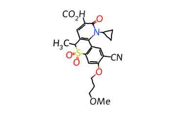 COCCCOc1cc2c(cc1C#N)-c1c(cc(C(=O)O)c(=O)n1C1CC1)C(C)S2(=O)=O